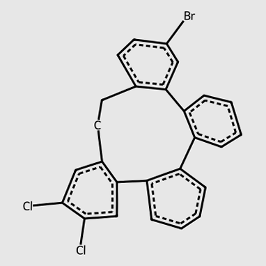 Clc1cc2c(cc1Cl)-c1ccccc1-c1ccccc1-c1cc(Br)ccc1CC2